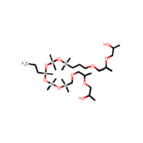 CC(O)COC(C)COCCC[Si](C)(C)O[Si](C)(C)O[Si](C)(CCC(F)(F)F)O[Si](C)(C)O[Si](C)(C)COCC(C)OCC(C)O